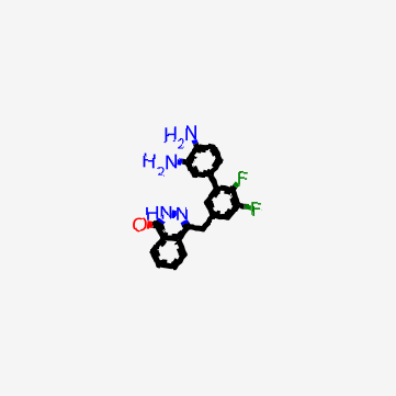 Nc1ccc(-c2cc(Cc3n[nH]c(=O)c4ccccc34)cc(F)c2F)cc1N